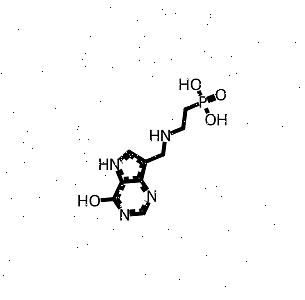 O=P(O)(O)CCNCc1c[nH]c2c(O)ncnc12